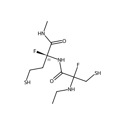 CCNC(F)(CS)C(=O)N[C@](F)(CCS)C(=O)NC